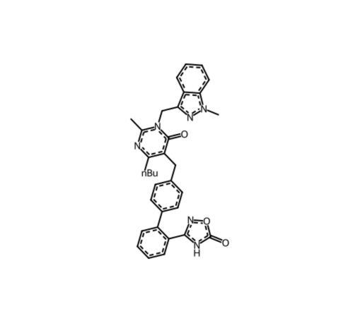 CCCCc1nc(C)n(Cc2nn(C)c3ccccc23)c(=O)c1Cc1ccc(-c2ccccc2-c2noc(=O)[nH]2)cc1